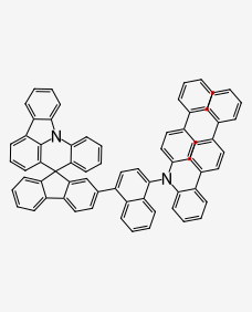 c1ccc(-c2ccc(-c3ccccc3N(c3ccc(-c4ccccc4)cc3)c3ccc(-c4ccc5c(c4)C4(c6ccccc6-5)c5ccccc5-n5c6ccccc6c6cccc4c65)c4ccccc34)cc2)cc1